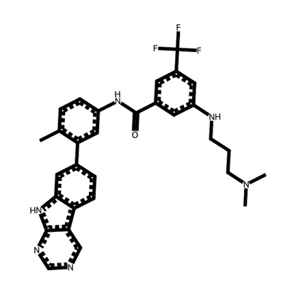 Cc1ccc(NC(=O)c2cc(NCCCN(C)C)cc(C(F)(F)F)c2)cc1-c1ccc2c(c1)[nH]c1ncncc12